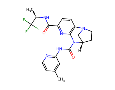 Cc1ccnc(NC(=O)N2c3nc(C(=O)N[C@H](C)C(F)(F)F)ccc3N3CC[C@H]2C3)c1